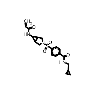 C=CC(=O)NC1C2CN(S(=O)(=O)c3ccc(C(=O)NCC4CC4)cc3)CC21